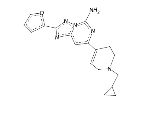 Nc1nc(C2=CCN(CC3CC3)CC2)cc2nc(-c3ccco3)nn12